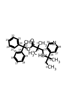 CCC(C)(BCC(C)(C)C(=O)OC(C)(c1ccccc1)c1ccccc1)c1ccncc1